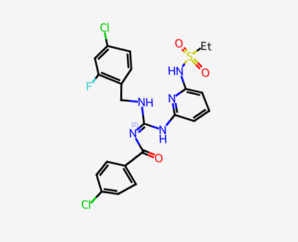 CCS(=O)(=O)Nc1cccc(N/C(=N\C(=O)c2ccc(Cl)cc2)NCc2ccc(Cl)cc2F)n1